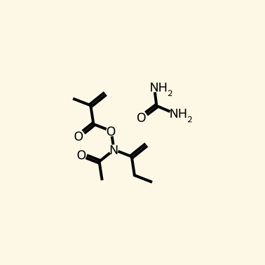 C=C(C)C(=O)ON(C(=C)CC)C(C)=O.NC(N)=O